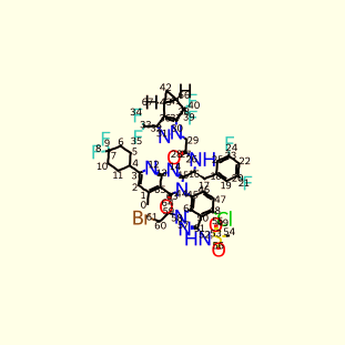 Cc1cc(C2CCC(F)(F)CC2)nc2nc([C@H](Cc3cc(F)cc(F)c3)NC(=O)Cn3nc(C(F)F)c4c3C(F)(F)[C@@H]3C[C@H]43)n(-c3ccc(Cl)c4c(NS(C)(=O)=O)nn(CCBr)c34)c(=O)c12